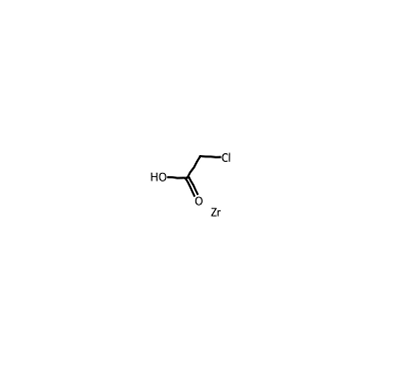 O=C(O)CCl.[Zr]